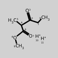 CCC(=O)C(C)C(=O)OC.[H+].[H+]